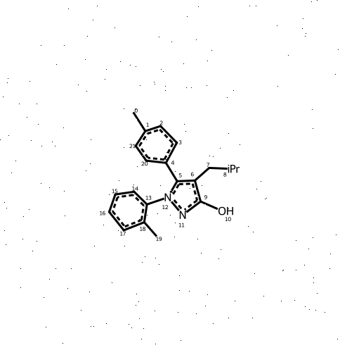 Cc1ccc(-c2c(CC(C)C)c(O)nn2-c2ccccc2C)cc1